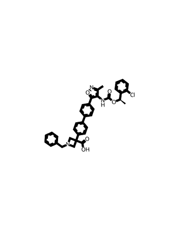 Cc1noc(-c2ccc(-c3ccc(C4(C(=O)O)CN(Cc5ccccc5)C4)cc3)cc2)c1NC(=O)O[C@H](C)c1ccccc1Cl